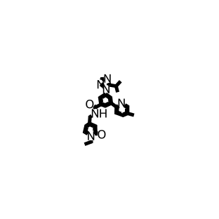 CCn1ccc(CNC(=O)c2cc(-c3ccc(C)cn3)cc(-n3ncnc3C(C)C)c2)cc1=O